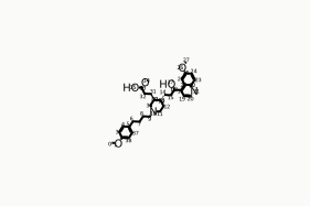 COc1ccc(CCCCN2CC[C@@H](CC[C@@H](O)c3ccnc4ccc(OC)cc34)[C@H](CCC(=O)O)C2)cc1